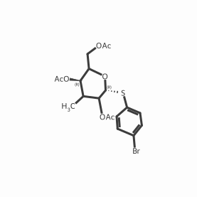 CC(=O)OCC1O[C@H](Sc2ccc(Br)cc2)C(OC(C)=O)C(C)[C@H]1OC(C)=O